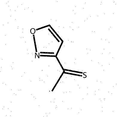 [CH2]C(=S)c1ccon1